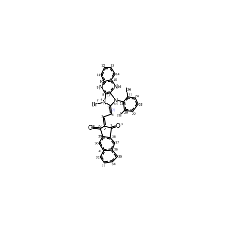 O=C1C(=C/C=C2\N(Br)c3nc4ccccc4nc3N2c2c(I)cccc2I)C(=O)c2cc3ccccc3cc21